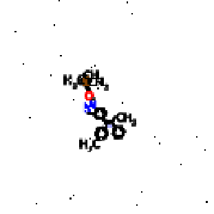 CC/C(=C(/c1ccc(C)cc1)c1ccc2c(cnn2COCCS(C)(C)C)c1)c1ccccc1